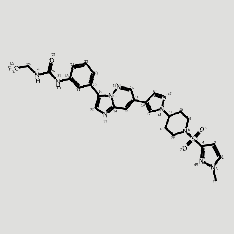 Cn1ccc(S(=O)(=O)N2CCC(n3cc(-c4cnn5c(-c6cccc(NC(=O)NCC(F)(F)F)c6)cnc5c4)cn3)CC2)n1